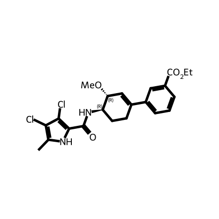 CCOC(=O)c1cccc(C2=C[C@@H](OC)[C@H](NC(=O)c3[nH]c(C)c(Cl)c3Cl)CC2)c1